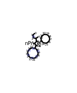 C/C=C\C(C)C1C(CCC)C(C2=C/C=C\C=C/C=C\C=C/C=C\2)=NN1C1CCCCCCCCC1